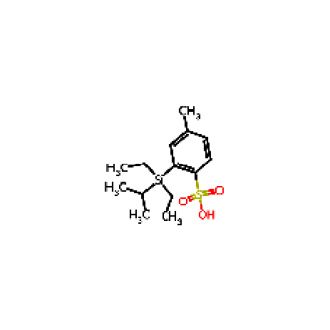 CC[Si](CC)(c1cc(C)ccc1S(=O)(=O)O)C(C)C